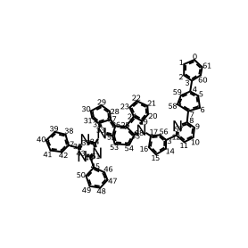 c1ccc(-c2ccc(-c3cccc(-c4cccc(-n5c6ccccc6c6c7c8ccccc8n(-c8nc(-c9ccccc9)nc(-c9ccccc9)n8)c7ccc65)c4)n3)cc2)cc1